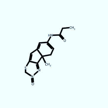 CCC(=O)NC1=CCC2(C)C(=C1)C=C1SC[N+](=O)N=C12